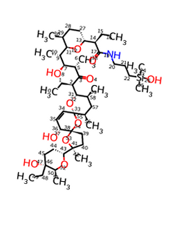 CC[C@@H](C(=O)[C@@H](C)[C@@H](O)[C@H](C)[C@@H]1O[C@@H]([C@@H](CC)C(=O)NCCC[Si](C)(C)O)CC[C@@H]1C)[C@H]1O[C@]2(C=C[C@@H](O)[C@]3(CC[C@@](C)([C@H]4CC[C@](O)(CC)[C@H](C)O4)O3)O2)[C@H](C)C[C@@H]1C